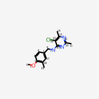 COc1ccc(C[N]c2nc(C)nc(C)c2Cl)cc1C